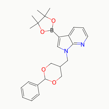 CC1(C)OB(c2cn(CC3COC(c4ccccc4)OC3)c3ncccc23)OC1(C)C